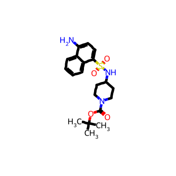 CC(C)(C)OC(=O)N1CCC(NS(=O)(=O)c2ccc(N)c3ccccc23)CC1